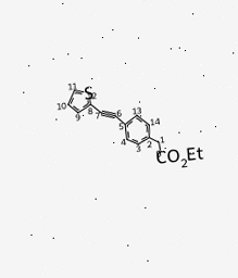 CCOC(=O)Cc1ccc(C#Cc2cccs2)cc1